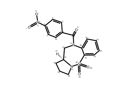 O=C(c1ccc([N+](=O)[O-])cc1)N1C[C@@H]2CCCN2S(=O)(=O)c2ccccc21